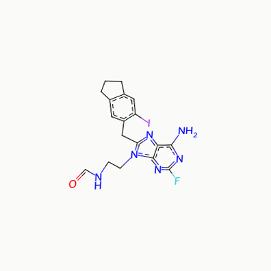 Nc1nc(F)nc2c1nc(Cc1cc3c(cc1I)CCC3)n2CCNC=O